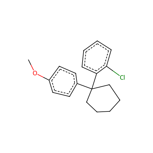 COc1ccc(C2(c3ccccc3Cl)CCCCC2)cc1